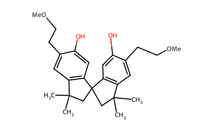 COCCc1cc2c(cc1O)C1(CC2(C)C)CC(C)(C)c2cc(CCOC)c(O)cc21